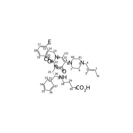 C/C=C(\C)CN1CCN(c2c(C)n(Cc3c(F)cccc3C(F)(F)F)c(=O)n(C[C@H](NCCCC(=O)O)c3ccccc3)c2=O)CC1